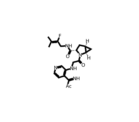 CC(=O)C(=N)c1ccncc1NCC(=O)N1[C@@H]2C[C@@H]2C[C@H]1C(=O)NCC(F)=C(C)C